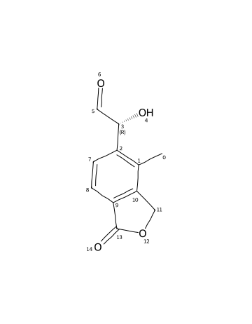 Cc1c([C@@H](O)C=O)ccc2c1COC2=O